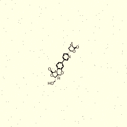 CN1C[C@@H](c2ccc(-c3ccc4c(c3)OC[C@H]3[C@H](CO)OC(=O)N43)cn2)OC1=O